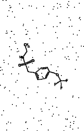 CCNS(=O)(=O)Cc1ccc(OC(F)(F)F)cc1